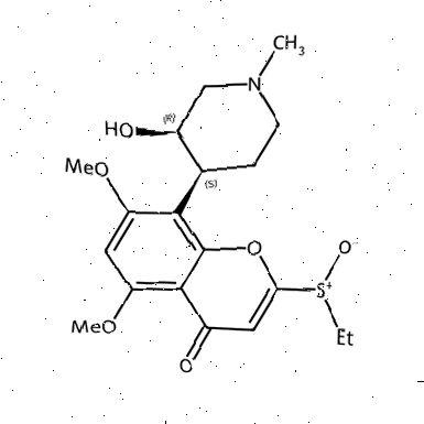 CC[S+]([O-])c1cc(=O)c2c(OC)cc(OC)c([C@@H]3CCN(C)C[C@@H]3O)c2o1